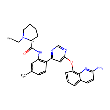 CC(C)CN1CCCC[C@@H]1C(=O)Nc1cc(C(F)(F)F)ccc1-c1cc(Oc2cccc3ccc(N)nc23)ncn1